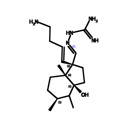 CC1[C@@H](C)CC[C@]2(C)[C@](C=CCCN)(/C=N/NC(=N)N)CC[C@]12O